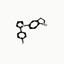 Fc1ccc(-c2cccn2-c2ccc3c(c2)CCN3)cc1